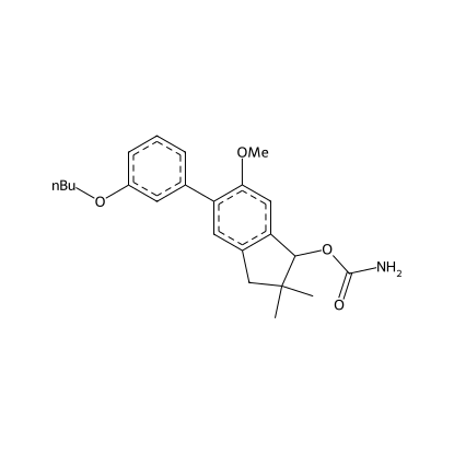 CCCCOc1cccc(-c2cc3c(cc2OC)C(OC(N)=O)C(C)(C)C3)c1